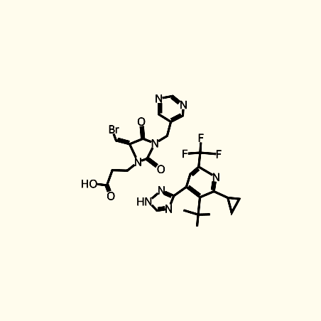 CC(C)(C)c1c(-c2nc[nH]n2)cc(C(F)(F)F)nc1C1CC1.O=C(O)CCN1C(=O)N(Cc2cncnc2)C(=O)C1=CBr